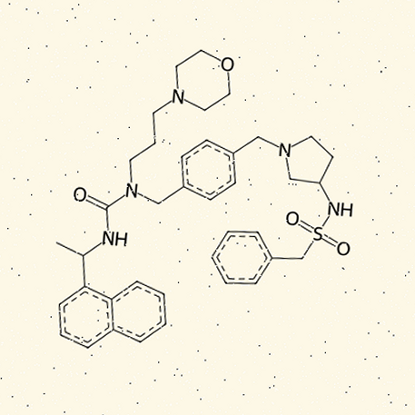 CC(NC(=O)N(CCCN1CCOCC1)Cc1ccc(CN2CCC(NS(=O)(=O)Cc3ccccc3)C2)cc1)c1cccc2ccccc12